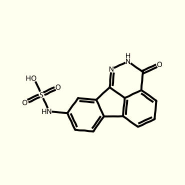 O=c1[nH]nc2c3c(cccc13)-c1ccc(NS(=O)(=O)O)cc1-2